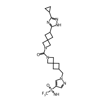 N=S(=O)(c1cnn(CC2CC3(C2)CN(C(=O)N2CC4(CC(c5nc(C6CC6)n[nH]5)C4)C2)C3)c1)C(F)(F)F